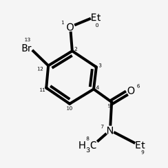 CCOc1cc(C(=O)N(C)CC)ccc1Br